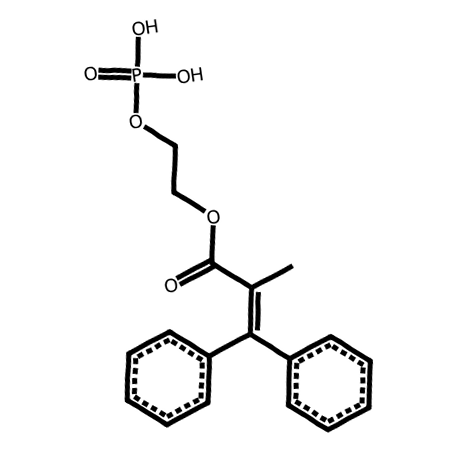 CC(C(=O)OCCOP(=O)(O)O)=C(c1ccccc1)c1ccccc1